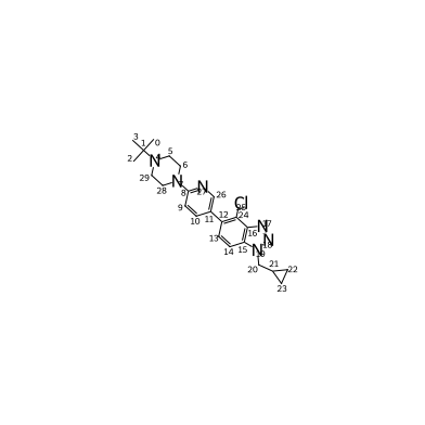 CC(C)(C)N1CCN(c2ccc(-c3ccc4c(nnn4CC4CC4)c3Cl)cn2)CC1